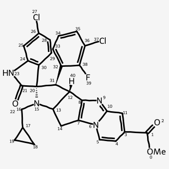 COC(=O)c1ccn2c3c(nc2c1)[C@@H]1C(C3)N(CC2CC2)[C@@]2(C(=O)Nc3cc(Cl)ccc32)[C@H]1c1cccc(Cl)c1F